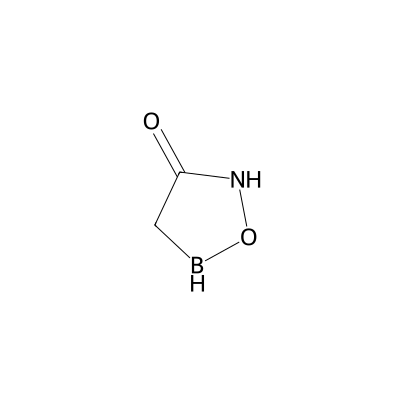 O=C1CBON1